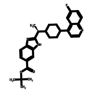 C[C@@H](c1nc2ccc(C(=O)OC(C)(C)C)cc2[nH]1)C1CCC(c2ccnc3ccc(F)cc23)CC1